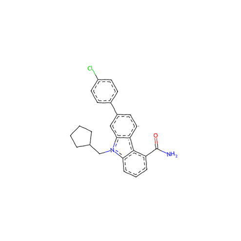 NC(=O)c1cccc2c1c1[c]cc(-c3ccc(Cl)cc3)cc1n2CC1CCCC1